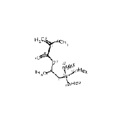 C=C(C)C(=O)OC(C)C[N+](CCCCCC)(CCCCCC)CCCCCC